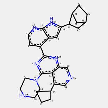 c1cc(-c2nc(N3CCNCC3)c3c(C4CCC4)cncc3n2)c2cc(C3CC4CCC3C4)[nH]c2n1